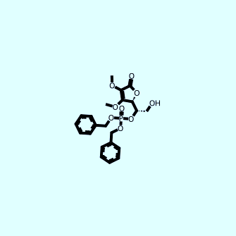 COC1=C(OC)[C@@H]([C@H](CO)OP(=O)(OCc2ccccc2)OCc2ccccc2)OC1=O